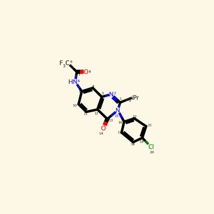 CC(C)c1nc2cc(NC(=O)C(F)(F)F)ccc2c(=O)n1-c1ccc(Cl)cc1